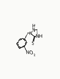 O=[N+]([O-])c1cccc(CN2NCNC2=S)c1